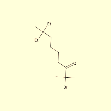 CCC(C)(CC)CCCCC(=O)C(C)(C)Br